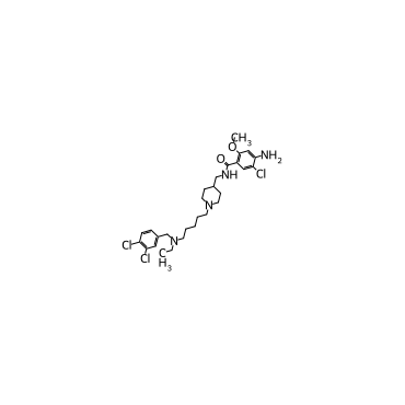 CCN(CCCCCN1CCC(CNC(=O)c2cc(Cl)c(N)cc2OC)CC1)Cc1ccc(Cl)c(Cl)c1